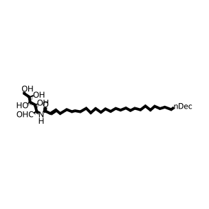 CCCCCCCCCCCCCCCCCCCCCCCCCCCCCCCCCC=CC(=O)N[C@@H](C=O)[C@@H](O)[C@H](O)[C@H](O)CO